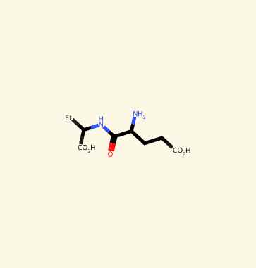 CCC(NC(=O)C(N)CCC(=O)O)C(=O)O